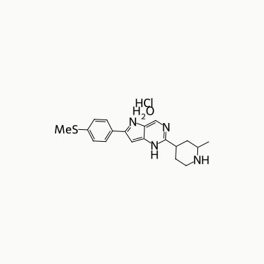 CSc1ccc(-c2cc3[nH]c(C4CCNC(C)C4)ncc-3n2)cc1.Cl.O